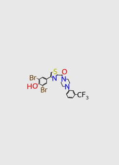 O=C(c1nc(-c2cc(Br)c(O)c(Br)c2)cs1)N1CCN(c2cccc(C(F)(F)F)c2)CC1